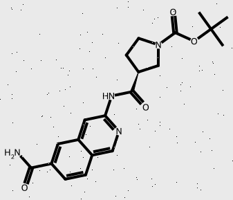 CC(C)(C)OC(=O)N1CC[C@H](C(=O)Nc2cc3cc(C(N)=O)ccc3cn2)C1